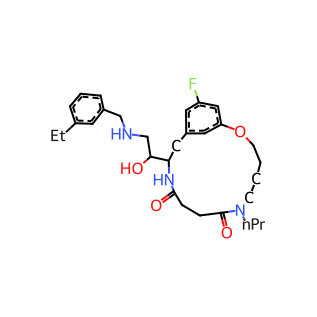 CCCN1CCCCOc2cc(F)cc(c2)CC(C(O)CNCc2cccc(CC)c2)NC(=O)CCC1=O